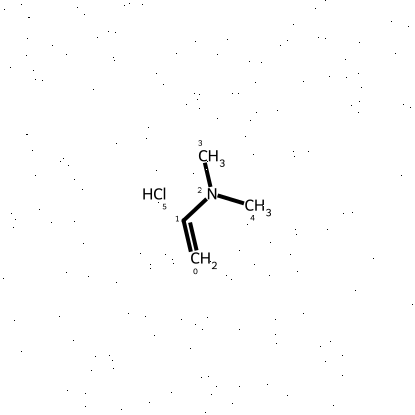 C=CN(C)C.Cl